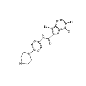 CCn1c(C(=O)Nc2ccc(N3CCNCC3)cc2)cc2c(Cl)c(Cl)ccc21